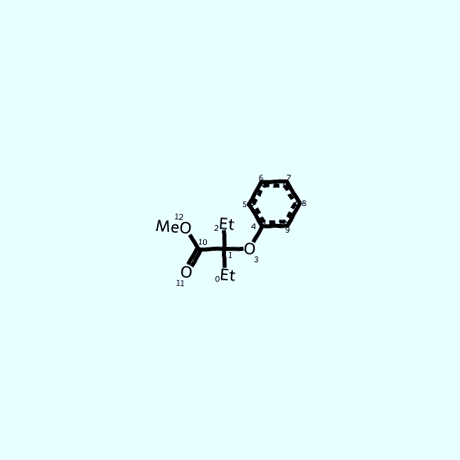 CCC(CC)(Oc1ccccc1)C(=O)OC